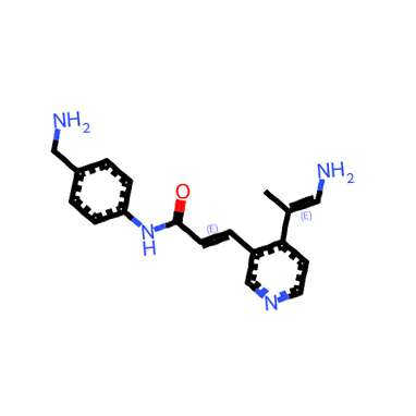 C/C(=C\N)c1ccncc1/C=C/C(=O)Nc1ccc(CN)cc1